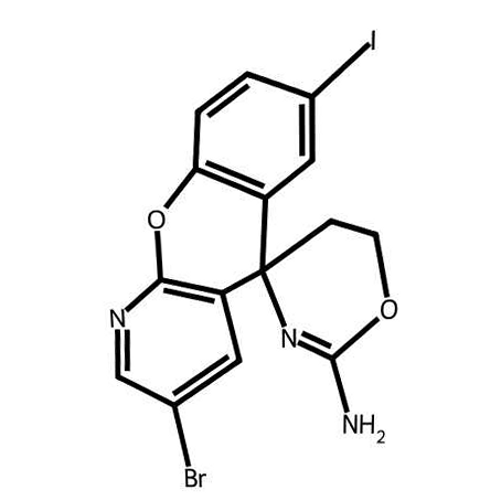 NC1=NC2(CCO1)c1cc(I)ccc1Oc1ncc(Br)cc12